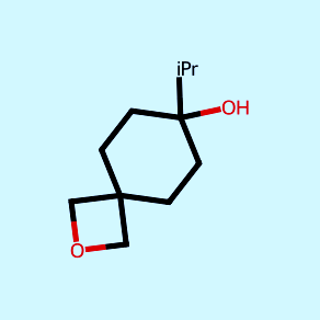 CC(C)C1(O)CCC2(CC1)COC2